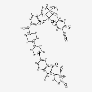 CC1(C)C(Nc2ccc(C(=O)N3CCN(C4CCN(c5ccc6c(c5)C(=O)N(C5CCC(=O)NC5=O)C6=O)CC4)CC3)cc2)C(C)(C)C1Oc1ccc(C#N)c(Cl)c1